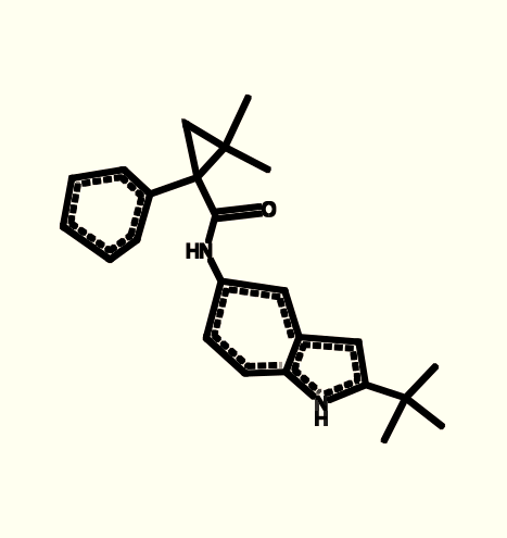 CC(C)(C)c1cc2cc(NC(=O)C3(c4ccccc4)CC3(C)C)ccc2[nH]1